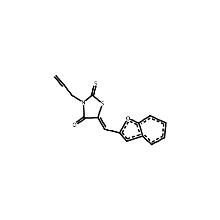 C=CCN1C(=O)C(=Cc2cc3ccccc3o2)SC1=S